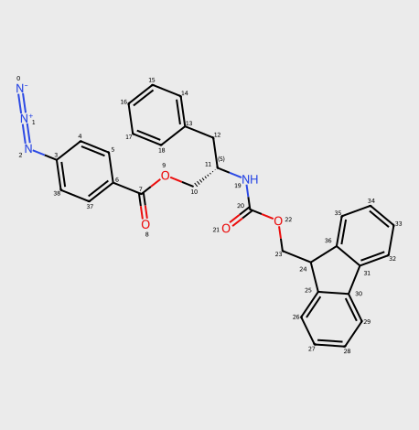 [N-]=[N+]=Nc1ccc(C(=O)OC[C@H](Cc2ccccc2)NC(=O)OCC2c3ccccc3-c3ccccc32)cc1